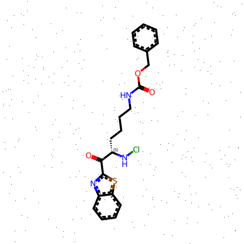 O=C(NCCCC[C@H](NCl)C(=O)c1nc2ccccc2s1)OCc1ccccc1